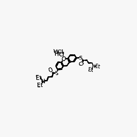 CCN(CC)CCCC(=O)Sc1ccc2c(c1)Cc1cc(SC(=O)CCCN(CC)CC)ccc1O2.Cl.Cl